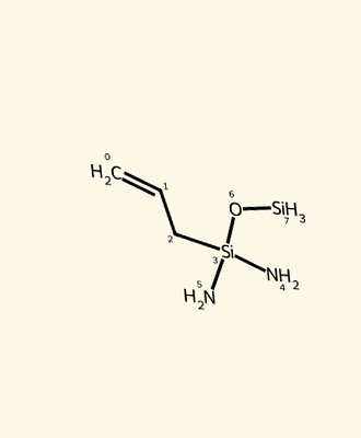 C=CC[Si](N)(N)O[SiH3]